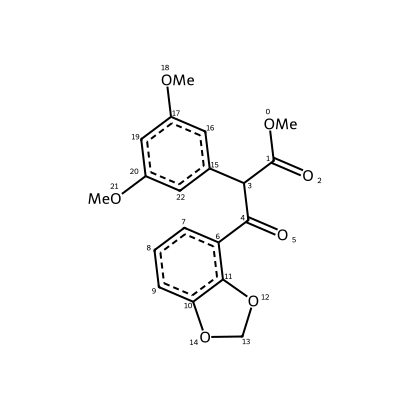 COC(=O)C(C(=O)c1cccc2c1OCO2)c1cc(OC)cc(OC)c1